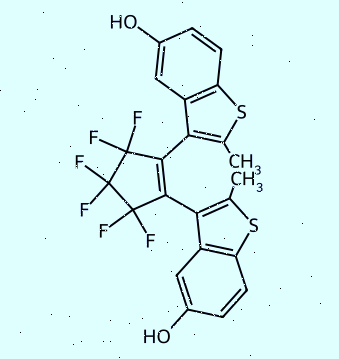 Cc1sc2ccc(O)cc2c1C1=C(c2c(C)sc3ccc(O)cc23)C(F)(F)C(F)(F)C1(F)F